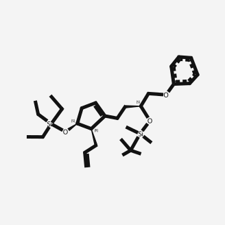 C=CC[C@@H]1C(CC[C@@H](COc2ccccc2)O[Si](C)(C)C(C)(C)C)=CC[C@@H]1O[Si](CC)(CC)CC